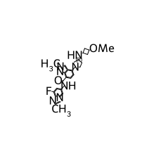 CO[C@H]1C[C@H](N[C@@H]2CCN(c3ccc(C(=O)Nc4cc(F)c5nc(C)cn5c4)c4nn(C)cc34)C2)C1